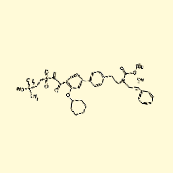 CC(C)(O)CCS(=O)(=O)NC(=O)c1ccc(-c2ccc(CCN(C[C@H](O)c3ccccc3)C(=O)OC(C)(C)C)cc2)cc1OC1CCCCC1